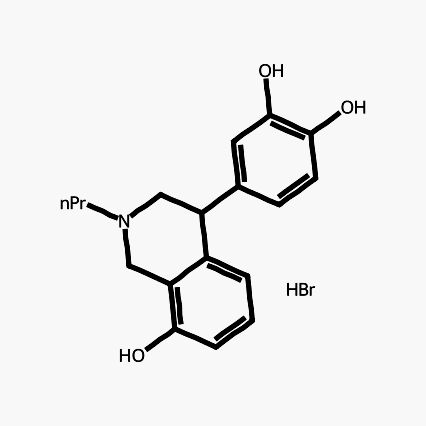 Br.CCCN1Cc2c(O)cccc2C(c2ccc(O)c(O)c2)C1